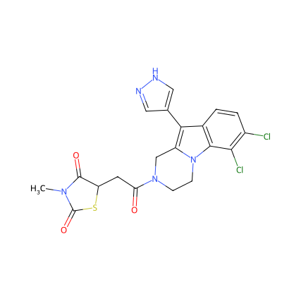 CN1C(=O)SC(CC(=O)N2CCn3c(c(-c4cn[nH]c4)c4ccc(Cl)c(Cl)c43)C2)C1=O